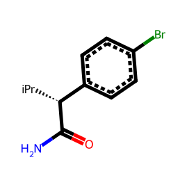 CC(C)[C@@H](C(N)=O)c1ccc(Br)cc1